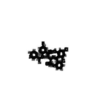 COc1cc(Cl)cc(Cl)c1C1=NC(NC(=O)c2cc(F)cnc2OC(C)c2cccnc2)C(=O)Nc2ccccc21